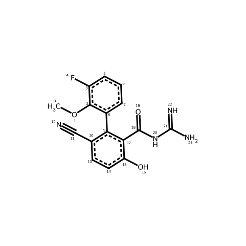 COc1c(F)cccc1-c1c(C#N)ccc(O)c1C(=O)NC(=N)N